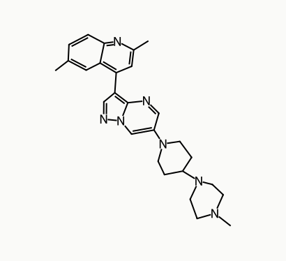 Cc1ccc2nc(C)cc(-c3cnn4cc(N5CCC(N6CCN(C)CC6)CC5)cnc34)c2c1